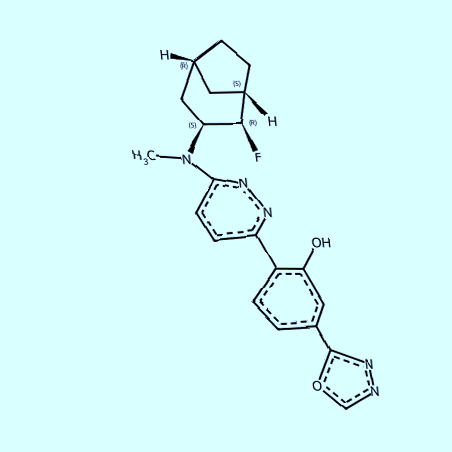 CN(c1ccc(-c2ccc(-c3nnco3)cc2O)nn1)[C@H]1C[C@@H]2CC[C@@H](C2)[C@H]1F